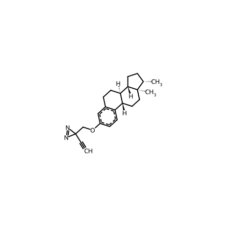 C#CC1(COc2ccc3c(c2)CC[C@@H]2[C@@H]3CC[C@]3(C)[C@@H](C)CC[C@@H]23)N=N1